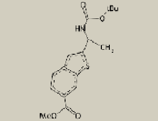 COC(=O)c1ccc2cc(C(C)NC(=O)OC(C)(C)C)sc2c1